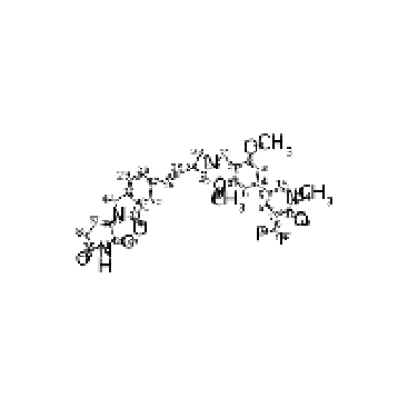 COc1cc(-c2cc(C(F)F)c(=O)n(C)c2)cc(OC)c1CN1CC(C#Cc2ccc3c(c2)C(=O)N(C2CCC(=O)NC2=O)C3)C1